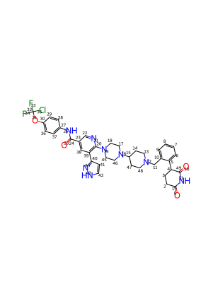 O=C1CCC(c2ccccc2CN2CCC(N3CCN(c4ncc(C(=O)Nc5ccc(OC(F)(F)Cl)cc5)cc4-c4cc[nH]n4)CC3)CC2)C(=O)N1